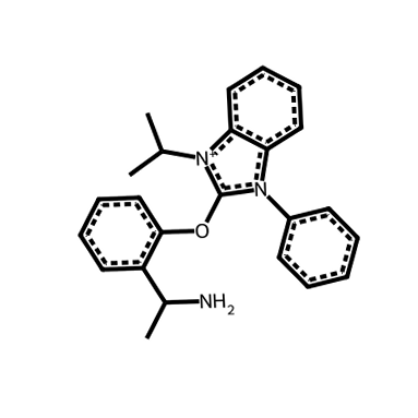 CC(N)c1ccccc1Oc1n(-c2ccccc2)c2ccccc2[n+]1C(C)C